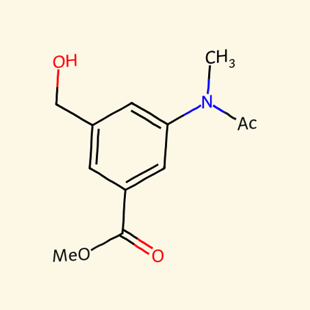 COC(=O)c1cc(CO)cc(N(C)C(C)=O)c1